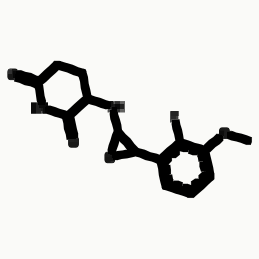 COc1cccc(C2OC2NC2CCC(=O)NC2=O)c1F